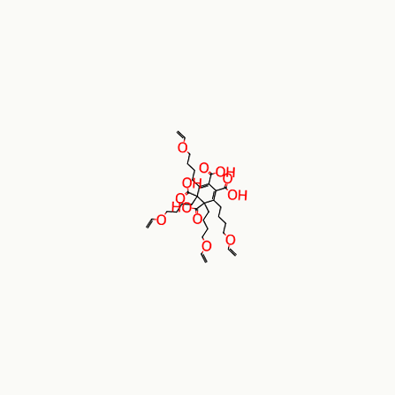 C=COCCCCC1=C(C(=O)O)C(C(=O)O)=C(CCCCOC=C)C(CCCCOC=C)(C(=O)O)C1(CCCCOC=C)C(=O)O